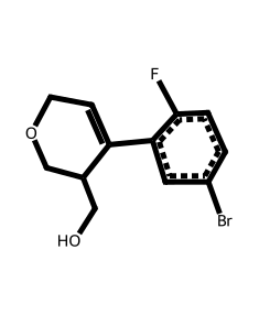 OCC1COCC=C1c1cc(Br)ccc1F